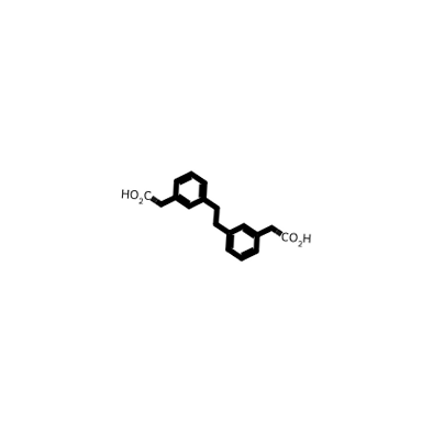 O=C(O)Cc1cccc(CCc2cccc(CC(=O)O)c2)c1